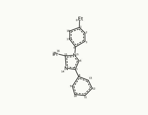 [CH2]Cc1ccc(-n2cc(-c3ccccc3)nc2C(C)C)cc1